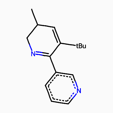 CC1C=C(C(C)(C)C)C(c2cccnc2)=NC1